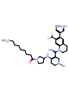 CN/C=C(\C=N)c1cc2c(cc1C(F)F)N(C(=N)C1=C(NC3CCN(C(=O)CCCCCCCC(=O)O)C3)CCN(C(C)=O)C1)CCC2